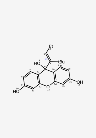 CC/C=C(\C(C)(C)C)C1(O)c2ccc(O)cc2Oc2cc(O)ccc21